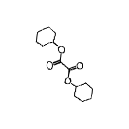 O=C(OC1CCCCC1)C(=O)OC1CCCCC1